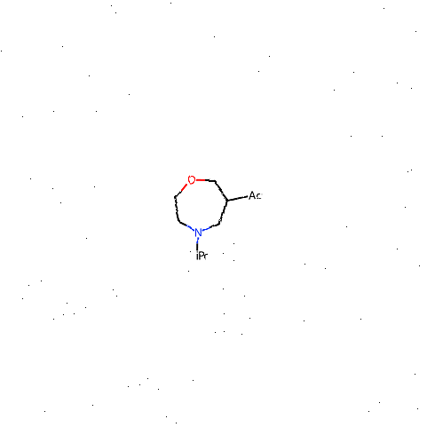 CC(=O)C1COCCN(C(C)C)C1